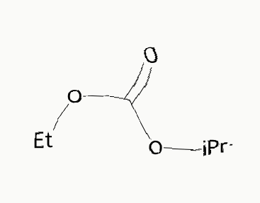 CCOC(=O)O[C](C)C